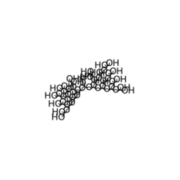 CCCC(C)(C)COCC(COCC(COCC(COCC(COCC(O)CO)OCC(O)CO)OCC(O)COCC(O)CO)OCC(COCC(O)COCC(O)CO)OCC(O)CO)OCC(COCC(COCC(COCC(O)CO)OCC(O)CO)OCC(O)COCC(O)CO)OCC(COCC(O)CO)OCC(O)CO